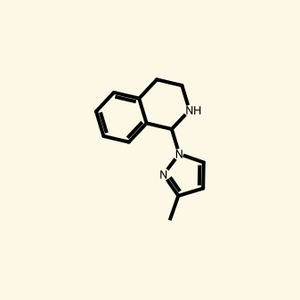 Cc1ccn(C2NCCc3ccccc32)n1